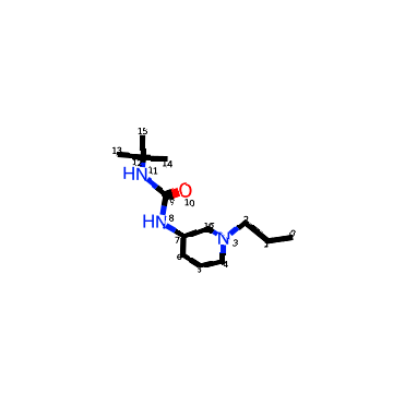 CCCN1CCCC(NC(=O)NC(C)(C)C)C1